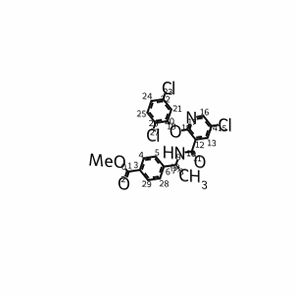 COC(=O)c1ccc([C@H](C)NC(=O)c2cc(Cl)cnc2Oc2cc(Cl)ccc2Cl)cc1